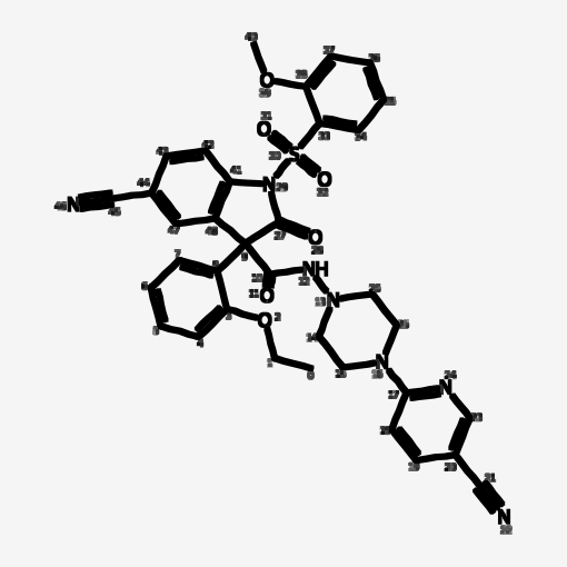 CCOc1ccccc1C1(C(=O)NN2CCN(c3ccc(C#N)cn3)CC2)C(=O)N(S(=O)(=O)c2ccccc2OC)c2ccc(C#N)cc21